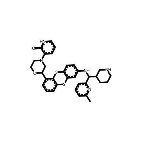 Cc1cccc(C(Nc2ccc3c(c2)Sc2cccc(C4CN(c5ccc[nH]c5=O)CCO4)c2S3)C2CCCNC2)n1